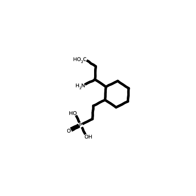 NC(CC(=O)O)C1CCCCC1CCP(=O)(O)O